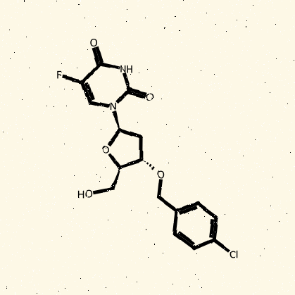 O=c1[nH]c(=O)n([C@H]2C[C@H](OCc3ccc(Cl)cc3)[C@@H](CO)O2)cc1F